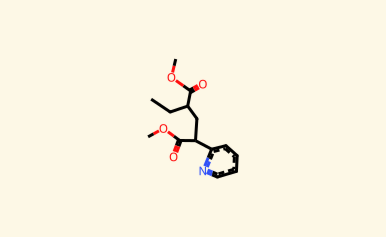 CCC(CC(C(=O)OC)c1ccccn1)C(=O)OC